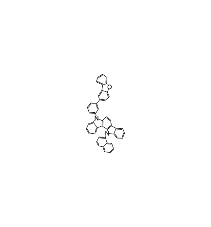 c1cc(-c2ccc3oc4ccccc4c3c2)cc(-n2c3ccccc3c3c2ccc2c4ccccc4n(-c4cccc5ccccc45)c23)c1